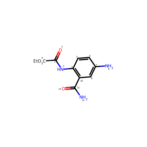 CCOC(=O)C(=O)Nc1ccc(N)cc1C(N)=O